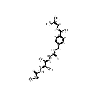 CNC(=S)N/N=C(C)/C(C)=N/NC(=S)NCc1ccc(/C(N)=N/N=C(/C)N)cc1